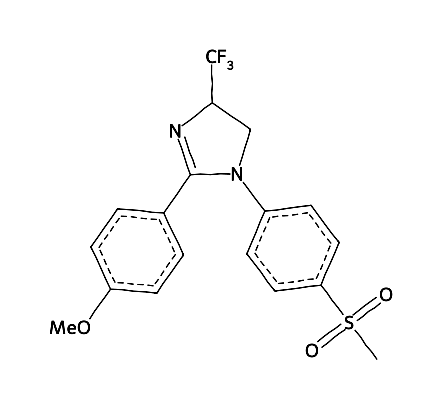 COc1ccc(C2=NC(C(F)(F)F)CN2c2ccc(S(C)(=O)=O)cc2)cc1